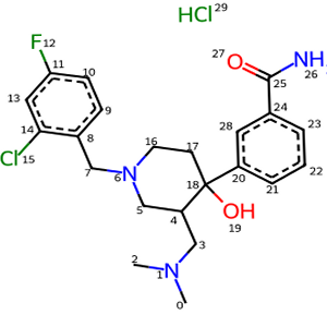 CN(C)CC1CN(Cc2ccc(F)cc2Cl)CCC1(O)c1cccc(C(N)=O)c1.Cl